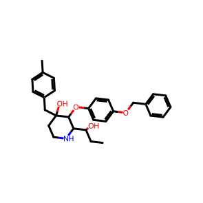 CCC(O)C1NCCC(O)(Cc2ccc(C)cc2)C1Oc1ccc(OCc2ccccc2)cc1